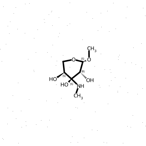 CN[C@]1(O)[C@@H](O)CO[C@H](OC)[C@@H]1O